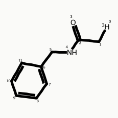 [3H]CC(=O)NCc1ccccc1